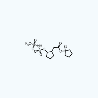 CCC1(OC(=O)CC2CCCC2OS(=O)(=O)NS(=O)(=O)C(F)(F)F)CCCC1